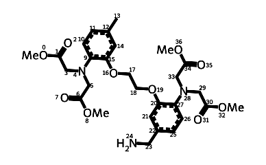 COC(=O)CN(CC(=O)OC)c1ccc(C)cc1OCCOc1cc(CN)ccc1N(CC(=O)OC)CC(=O)OC